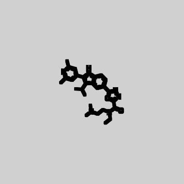 CCN(CCN(C)C)C(=O)c1nnc(-c2ccc3[nH]c(-c4cc(C)nc(C)c4)c(C(C)C)c3c2)o1